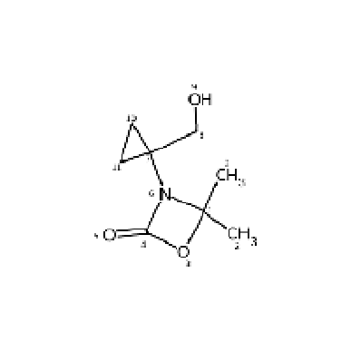 CC1(C)OC(=O)N1C1(CO)CC1